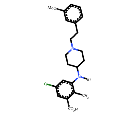 CCN(c1cc(Cl)cc(C(=O)O)c1C)C1CCN(CCc2cccc(OC)c2)CC1